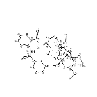 CO[C@H]1C[C@]2(O)C3CC4C5(C6C[C@H]1[C@H](OC)[C@@]62O)[C@@H](OC)CC[C@@]4(OC(=O)c1ccccc1NC(=O)C1CCCCC1)[C@H](C)NN35